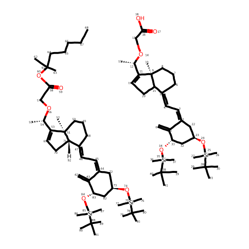 C=C1C(=CC=C2CCC[C@]3(C)C([C@H](C)OCC(=O)O)=CCC23)C[C@@H](O[Si](C)(C)C(C)(C)C)C[C@@H]1O[Si](C)(C)C(C)(C)C.C=C1C(=CC=C2CCC[C@]3(C)C([C@H](C)OCC(=O)OC(C)(C)CCCCC)=CC[C@@H]23)C[C@@H](O[Si](C)(C)C(C)(C)C)C[C@@H]1O[Si](C)(C)C(C)(C)C